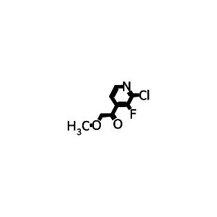 COCC(=O)c1ccnc(Cl)c1F